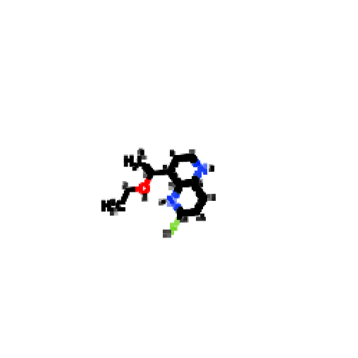 C=C(OCC)c1ccnc2ccc(F)nc12